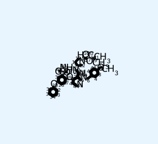 COc1ccc(Cn2nc(NC3CCN(C(=O)OC(C)(C)C)C3)c3c(Oc4ccc(Oc5ccccc5)cc4S(N)(=O)=O)ccnc32)cc1